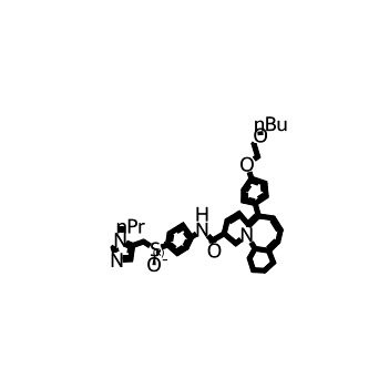 CCCCOCCOc1ccc(C2=C3C=CC(C(=O)Nc4ccc([S@@+]([O-])Cc5cncn5CCC)cc4)CN3C3CCCCC3=CC=C2)cc1